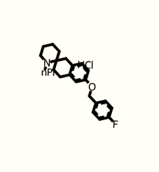 CCCN1CCCCC12CCc1cc(OCc3ccc(F)cc3)ccc1C2.Cl